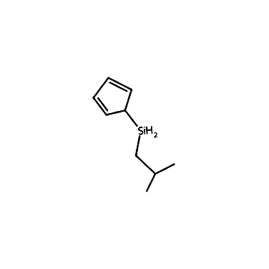 CC(C)C[SiH2]C1C=CC=C1